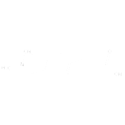 CN(C)Cc1ccc(C=CC(=O)O)cc1